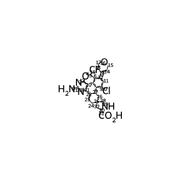 Nc1nc(OC(c2ccc(Cl)cc2C2=CCOCC2)C(F)(F)F)cc(C2=CCC3(CC2)CNC(C(=O)O)C3)n1